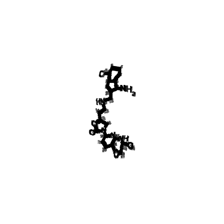 NC1c2cccc(Cl)c2CC1CNCCC1CN(c2ccc3c(n2)NC(=O)CO3)C(=O)O1